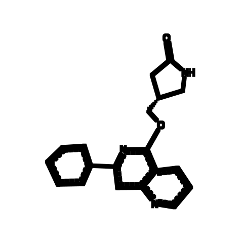 O=C1C[C@@H](COc2nc(-c3ccccc3)cc3ncccc23)CN1